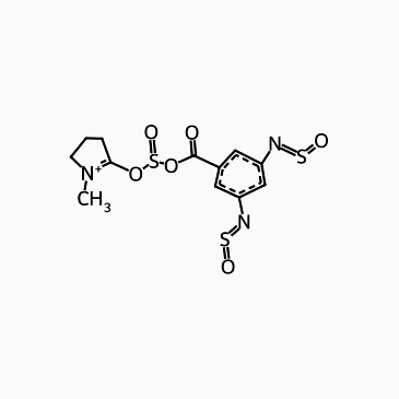 C[N+]1=C(OS(=O)OC(=O)c2cc(N=S=O)cc(N=S=O)c2)CCC1